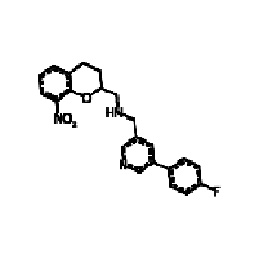 O=[N+]([O-])c1cccc2c1OC(CNCc1cncc(-c3ccc(F)cc3)c1)CC2